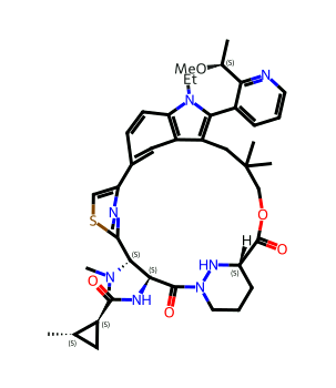 CCn1c(-c2cccnc2[C@H](C)OC)c2c3cc(ccc31)-c1csc(n1)[C@@H](N(C)C)[C@H](NC(=O)[C@H]1C[C@@H]1C)C(=O)N1CCC[C@H](N1)C(=O)OCC(C)(C)C2